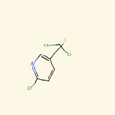 FC(Cl)(Cl)c1ccc(Cl)nc1